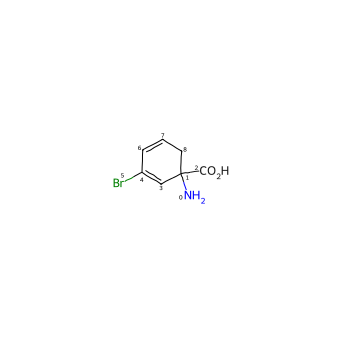 NC1(C(=O)O)C=C(Br)C=CC1